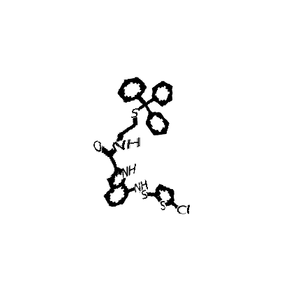 O=C(NCCSC(c1ccccc1)(c1ccccc1)c1ccccc1)c1cc2cccc(NSc3ccc(Cl)s3)c2[nH]1